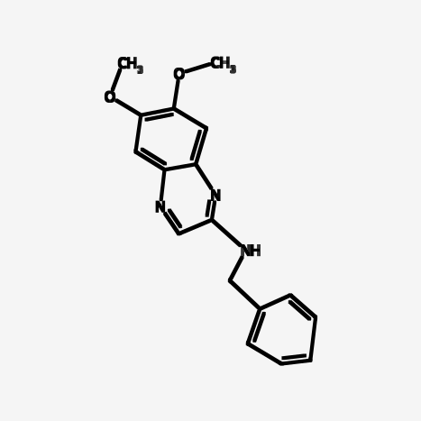 COc1cc2ncc(NCc3ccccc3)nc2cc1OC